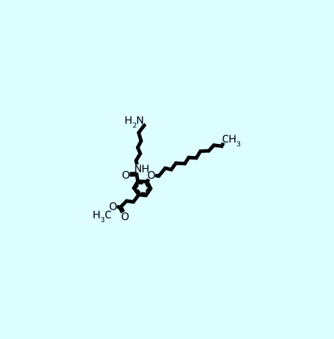 CCCCCCCCCCCCOc1ccc(CCC(=O)OC)cc1C(=O)NCCCCCCN